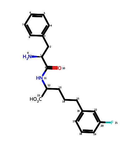 N[C@@H](Cc1ccccc1)C(=O)NC(CCCc1cccc(F)c1)C(=O)O